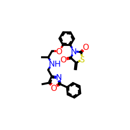 C=C1SC(=O)N(c2ccccc2OCC(C)NCc2nc(-c3ccccc3)oc2C)C1=O